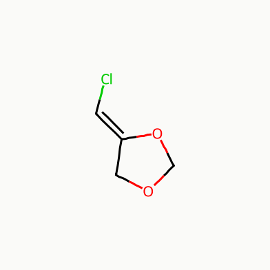 Cl/C=C1/COCO1